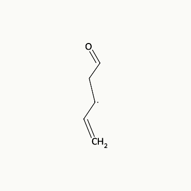 C=C[CH]CC=O